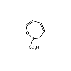 O=C(O)N1CC=CC=CO1